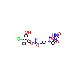 O=C(CCc1ccc(CCNc2cccc3c2C(=O)N(C2CCC(=O)NC2=O)C3=O)cc1)NCCOc1ccc(C(=C(CCCl)c2ccccc2)c2ccc(O)cc2)cc1